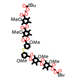 COc1ccc(Sc2ccc(OC)c(C(=O)Oc3c(C)c(C)c(C(=O)Oc4c(C)c(C)c(C(=O)OCOC(=O)C(C)(C)C)c(OC)c4C)c(OC)c3C)c2)cc1C(=O)Oc1c(C)c(C)c(C(=O)Oc2c(C)c(C)c(C(=O)OCOC(=O)C(C)(C)C)c(OC)c2C)c(OC)c1C